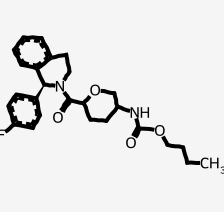 CCCCOC(=O)NC1CCC(C(=O)N2CCc3ccccc3[C@@H]2c2ccc(F)cc2)OC1